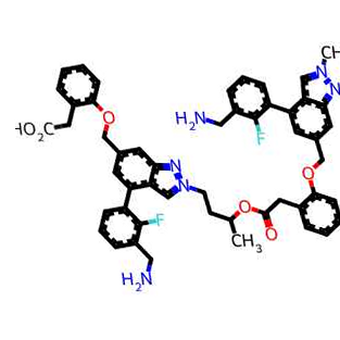 CC(CCn1cc2c(-c3cccc(CN)c3F)cc(COc3ccccc3CC(=O)O)cc2n1)OC(=O)Cc1ccccc1OCc1cc(-c2cccc(CN)c2F)c2cn(C)nc2c1